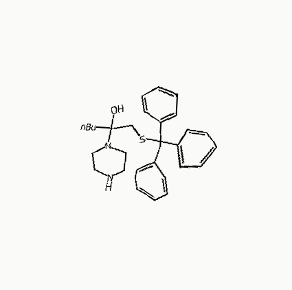 CCCCC(O)(CSC(c1ccccc1)(c1ccccc1)c1ccccc1)N1CCNCC1